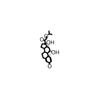 CC(C)OCC(=O)[C@@]1(O)CCC2C3CCC4=CC(=O)C=C[C@]4(C)C3[C@@H](O)C[C@@]21C